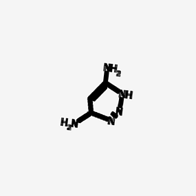 N[C]1C=C(N)NN=N1